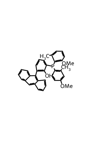 COc1ccc(P(c2cccc(-c3c4ccccc4cc4ccccc34)c2O)c2c(C)cccc2OC)c(C)c1